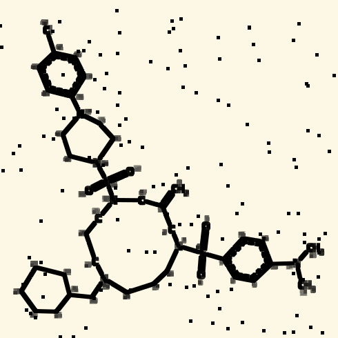 C=C1CN(S(=O)(=O)c2ccc(N(C)C)cc2)CCCN(CC2CCCCC2)CCCN(S(=O)(=O)N2CCN(c3ccc(Cl)cc3)CC2)C1